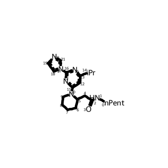 CCCCCNC(=O)CC1CCCCN1c1cc(C(C)C)nc(-n2ccnc2)n1